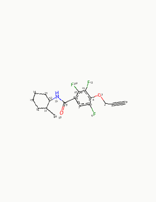 C#CCOc1c(F)cc(C(=O)NC2CCCCC2C)c(F)c1F